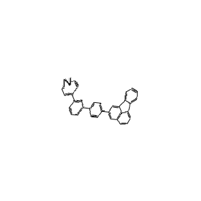 c1cc(-c2ccncc2)cc(-c2ccc(-c3cc4c5c(cccc5c3)-c3ccccc3-4)cc2)c1